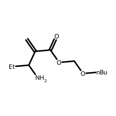 C=C(C(=O)OCOCCCC)C(N)CC